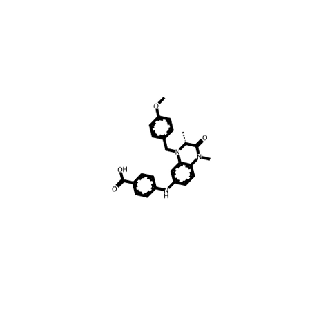 COc1ccc(CN2c3cc(Nc4ccc(C(=O)O)cc4)ccc3N(C)C(=O)[C@H]2C)cc1